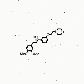 COc1ccc(CC[C@H](O)c2cccc(OCCN3CCOCC3)c2)cc1OC